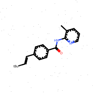 Cc1cccnc1NC(=O)c1ccc(/C=C/C(C)(C)C)cc1